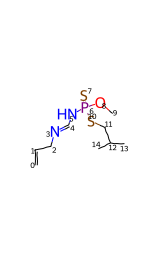 C=CC/N=C/NP(=S)(OC)SCC(C)C